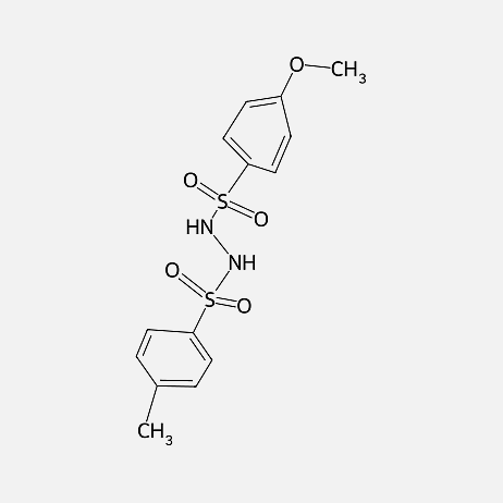 COc1ccc(S(=O)(=O)NNS(=O)(=O)c2ccc(C)cc2)cc1